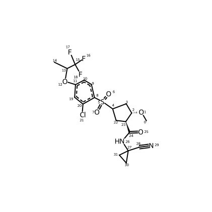 CO[C@H]1CC(S(=O)(=O)c2ccc(OC(C)C(F)(F)F)cc2Cl)C[C@@H]1C(=O)NC1(C#N)CC1